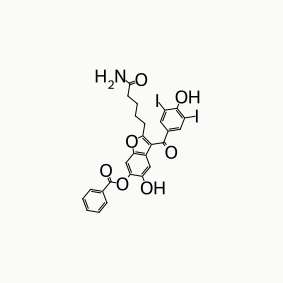 NC(=O)CCCCc1oc2cc(OC(=O)c3ccccc3)c(O)cc2c1C(=O)c1cc(I)c(O)c(I)c1